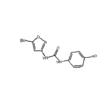 CC(C)(C)c1cc(NC(=O)Nc2ccc(N=O)cc2)no1